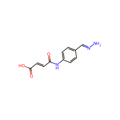 NN=Cc1ccc(NC(=O)C=CC(=O)O)cc1